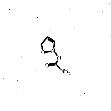 NC(=O)ON1C=CCO1